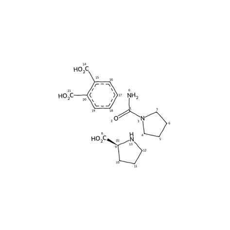 NC(=O)N1CCCC1.O=C(O)[C@@H]1CCCN1.O=C(O)c1ccccc1C(=O)O